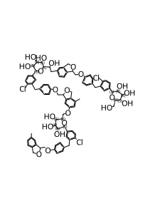 Cc1ccc2c(c1)C(COc1ccc(Cc3cc([C@@H]4O[C@H](COc5cc(C)c6c(c5)C(COc5ccc(Cc7cc([C@@H]8O[C@H](C(O)Cc9ccc%10c(c9)COC%10COc9ccc(Cc%10cc([C@@H]%11O[C@H](CO)[C@@H](O)[C@H](O)[C@H]%11O)ccc%10Cl)cc9)[C@@H](O)[C@H](O)[C@H]8O)ccc7Cl)cc5)OC6)[C@@H](O)[C@H](O)[C@H]4O)ccc3Cl)cc1)OC2